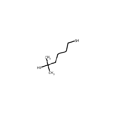 CC(C)(S)CCCCS